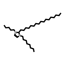 CCCCCCCCCCCCCCCCCC1N(CCCCC)C=CN1CCCCCCCC